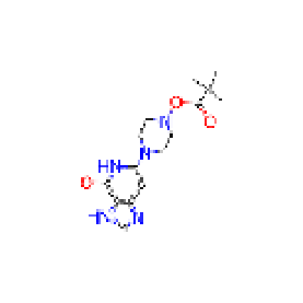 CC(C)(C)C(=O)ON1CCN(c2cc3nc[nH]c3c(=O)[nH]2)CC1